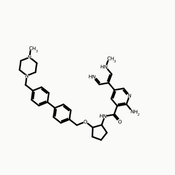 CN/C=C(\C=N)c1cnc(N)c(C(=O)NC2CCCC2OCc2ccc(-c3ccc(CN4CCN(C)CC4)cc3)cc2)c1